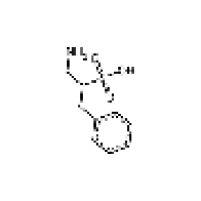 NCC(Cc1ccccc1)S(=O)(=O)O